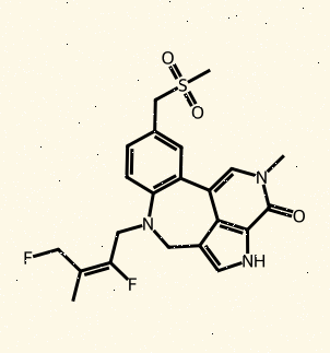 CC(CF)=C(F)CN1Cc2c[nH]c3c(=O)n(C)cc(c23)-c2cc(CS(C)(=O)=O)ccc21